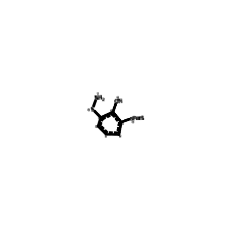 CCCCCc1cccc(SN)c1O